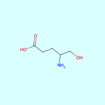 NC(CO)CCC(=O)O